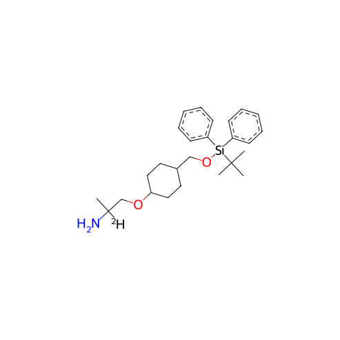 [2H]C(C)(N)COC1CCC(CO[Si](c2ccccc2)(c2ccccc2)C(C)(C)C)CC1